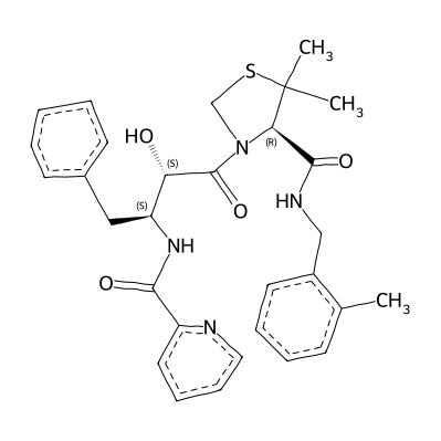 Cc1ccccc1CNC(=O)[C@H]1N(C(=O)[C@@H](O)[C@H](Cc2ccccc2)NC(=O)c2ccccn2)CSC1(C)C